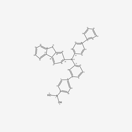 OB(O)c1ccc(-c2cccc(N(c3ccc(-c4ccccc4)cc3)c3ccc4c(c3)sc3ccccc34)c2)cc1